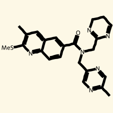 CSc1nc2ccc(C(=O)N(CC3=NCCC=N3)Cc3cnc(C)cn3)cc2cc1C